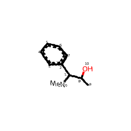 CNC(c1ccccc1)C(C)O